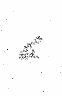 CO[C@H]1C([C@@]2(C)O[C@@H]2CC=C(C)C)[C@]2(CC[C@H]1OC(=O)N1CC(CCN3CCS(=O)(=O)CC3)C1)CO2